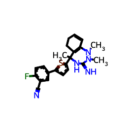 CN1C(=N)NC(C)(c2ccc(-c3ccc(F)c(C#N)c3)s2)C2=C(C=CCC2)N1C